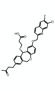 CC(=O)CCc1ccc2c(c1)COc1ccc(OCc3ccc4cc(F)c(Cl)cc4n3)cc1C2SCCC(=O)O